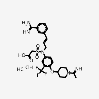 CC(=N)N1CCC(Oc2ccc(N(C/C=C/c3cccc(C(=N)N)c3)S(=O)(=O)CC(=O)O)cc2C(F)(F)F)CC1.Cl.Cl